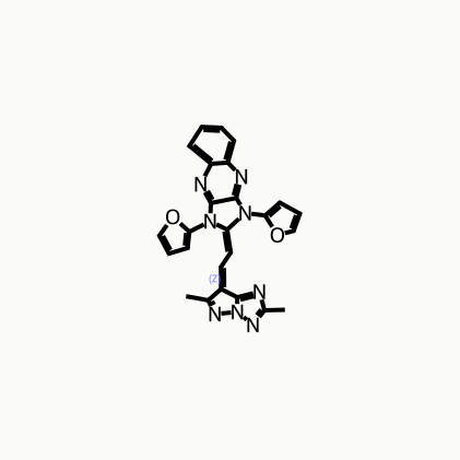 Cc1nc2/c(=C\C=C3N(c4ccco4)c4nc5ccccc5nc4N3c3ccco3)c(C)nn2n1